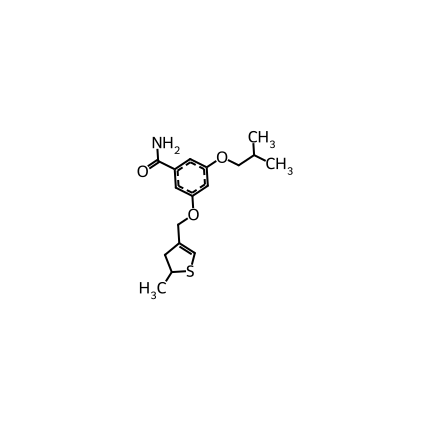 CC(C)COc1cc(OCC2=CSC(C)C2)cc(C(N)=O)c1